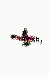 CC(C)(C)OC(=O)ON1C[C@H](OCc2cc(F)ccc2F)[C@H](c2ccc(OCCCOCc3ccccc3)cc2)[C@H](OCc2cc(F)ccc2F)C1